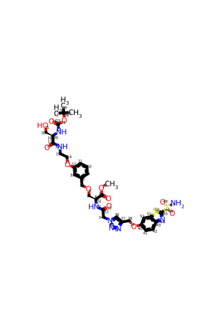 COC(=O)[C@H](COCc1cccc(OCCNC(=O)[C@@H](CO)NC(=O)OC(C)(C)C)c1)NC(=O)Cn1cc(COc2ccc3nc(S(N)(=O)=O)sc3c2)nn1